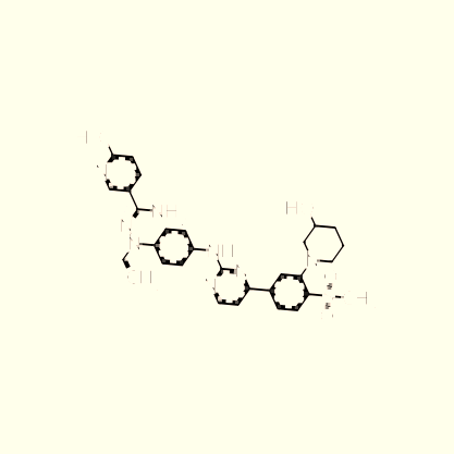 C=CN(/N=C(\N)c1ccc(C)nc1)c1ccc(Nc2nccc(-c3ccc(S(C)(=O)=O)c(N4CCCC(O)C4)c3)n2)cc1